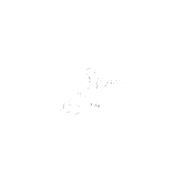 CNC(=O)Cn1c(=O)n(C2CCN(C3Cc4cccc5cccc3c45)CC2)c2ccccc21.Cl.O